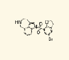 O=S(=O)(c1cc(Br)cc2c1OCC2)n1cc2c3c(cccc31)CNCC2